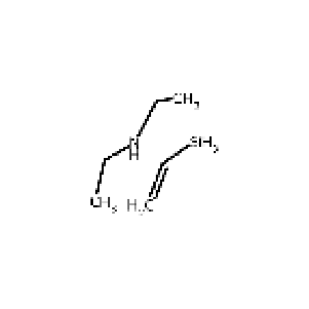 C=C[SiH3].CCNCC